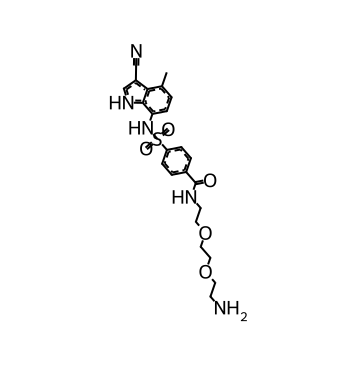 Cc1ccc(NS(=O)(=O)c2ccc(C(=O)NCCOCCOCCN)cc2)c2[nH]cc(C#N)c12